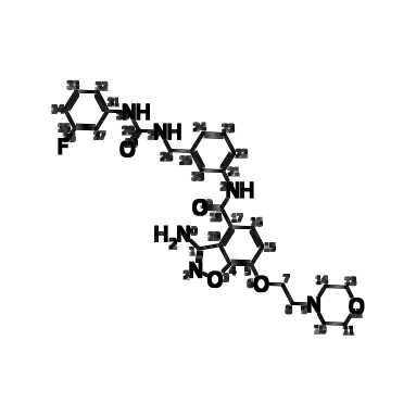 Nc1noc2c(OCCN3CCOCC3)ccc(C(=O)Nc3cccc(CNC(=O)Nc4cccc(F)c4)c3)c12